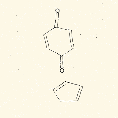 C1=CCC=C1.O=C1C=CC(=O)C=C1